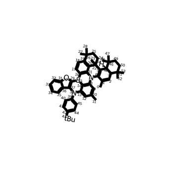 CC1=CC2[C@H](C3=C1N1c4cc(C)cc5c4B(c4ccc6c(c41)C3(C)CCC6(C)C)c1oc3ccccc3c1N5c1ccc(C(C)(C)C)cc1)C(C)(C)CCC2(C)C